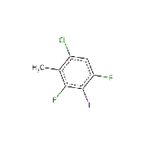 Cc1c(Cl)cc(F)c(I)c1F